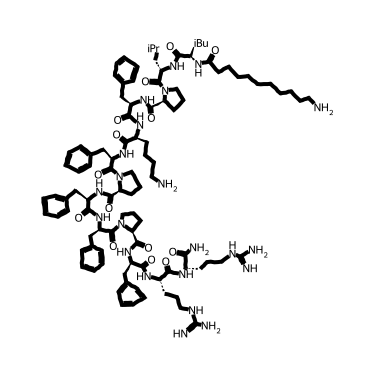 CC[C@H](C)[C@H](NC(=O)CCCCCCCCCCN)C(=O)N[C@@H](CC(C)C)C(=O)N1CCC[C@H]1C(=O)N[C@H](Cc1ccccc1)C(=O)N[C@@H](CCCCN)C(=O)N[C@H](Cc1ccccc1)C(=O)N1CCC[C@H]1C(=O)N[C@H](Cc1ccccc1)C(=O)N[C@H](Cc1ccccc1)C(=O)N1CCC[C@H]1C(=O)N[C@H](Cc1ccccc1)C(=O)N[C@@H](CCCNC(=N)N)C(=O)N[C@@H](CCCNC(=N)N)C(N)=O